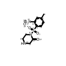 Cc1ccc(S(=O)(=O)N2CCNCC2=O)c([N+](=O)[O-])c1.Cl